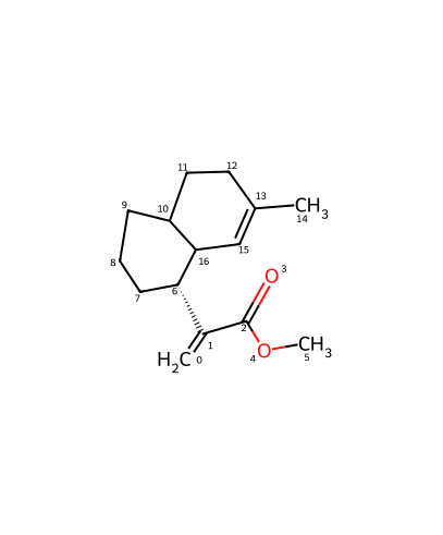 C=C(C(=O)OC)[C@@H]1CCCC2CCC(C)=CC21